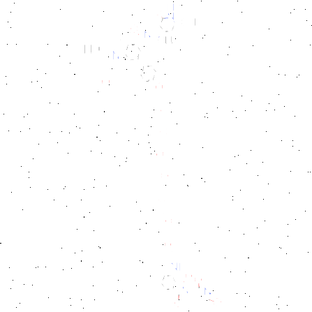 CCN(c1cc(-c2ccc(OCCOCCOCCOCCOCCOCCOCCOCCNc3cccc4c3C(=O)N(C3CCC(=O)NC3=O)C4=O)cc2)cc(C(=O)NCc2c(C)cc(C)[nH]c2=O)c1C)C1CCOCC1